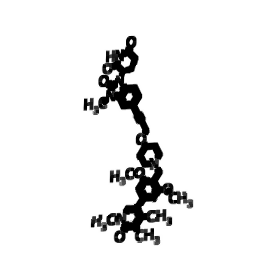 COc1cc(-c2cn(C)c(=O)c(C)c2C)cc(OC)c1CN1CCC(OCC#Cc2ccc3c(c2)n(C)c(=O)n3C2CCC(=O)NC2=O)CC1